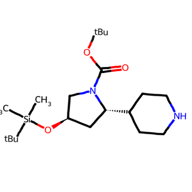 CC(C)(C)OC(=O)N1C[C@H](O[Si](C)(C)C(C)(C)C)C[C@H]1C1CCNCC1